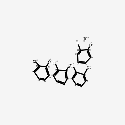 [O-]c1ccccc1Cl.[O-]c1ccccc1Cl.[O-]c1ccccc1Cl.[O-]c1ccccc1Cl.[Ti+4]